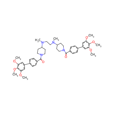 COc1cc(-c2ccc(C(=O)N3CCC(N(C)CCN(C)C4CCN(C(=O)c5ccc(-c6cc(OC)c(OC)c(OC)c6)cc5)CC4)CC3)cc2)cc(OC)c1OC